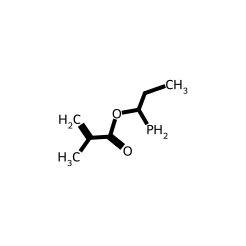 C=C(C)C(=O)OC(P)CC